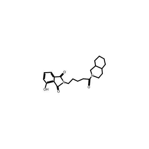 O=C(CCCCN1C(=O)c2cccc(O)c2C1=O)N1CCC2CCCCC2C1